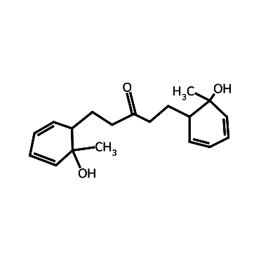 CC1(O)C=CC=CC1CCC(=O)CCC1C=CC=CC1(C)O